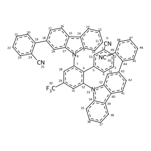 N#Cc1cccc(-c2c(-n3c4ccccc4c4ccc(-c5ccccc5C#N)cc43)cc(C(F)(F)F)cc2-n2c3ccccc3c3ccc(-c4ccccc4C#N)cc32)c1